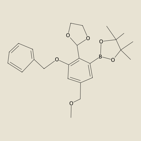 COCc1cc(OCc2ccccc2)c(C2OCCO2)c(B2OC(C)(C)C(C)(C)O2)c1